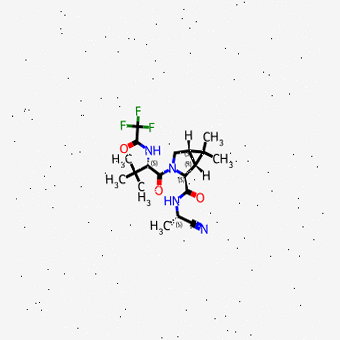 C[C@@H](C#N)NC(=O)[C@@H]1[C@@H]2[C@H](CN1C(=O)[C@@H](NC(=O)C(F)(F)F)C(C)(C)C)C2(C)C